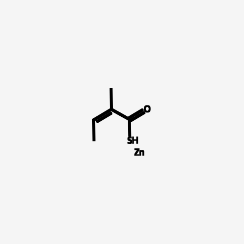 CC=C(C)C(=O)S.[Zn]